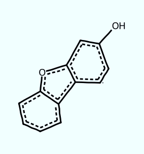 Oc1c[c]c2c(c1)oc1ccccc12